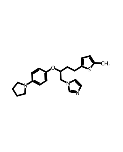 Cc1ccc(CCC(Cn2ccnc2)Oc2ccc(N3CCCC3)cc2)s1